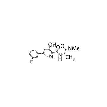 CNC(=O)C(C)NC(=O)c1ncc(-c2cccc(F)c2)cc1O